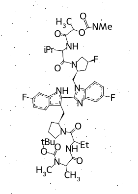 CCC(NC(=O)C(C)N(C)C(=O)OC(C)(C)C)C(=O)N1CCC[C@H]1Cc1c(-c2nc3cc(F)ccc3n2C[C@@H]2C[C@H](F)CN2C(=O)C(NC(=O)C(C)OC(=O)NC)C(C)C)[nH]c2cc(F)ccc12